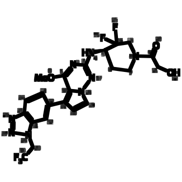 COc1nc(N[C@@H]2CCN(C(=O)CO)CC2(F)F)nn2ccc(-c3ccc4nnn(CC(F)(F)F)c4c3)c12